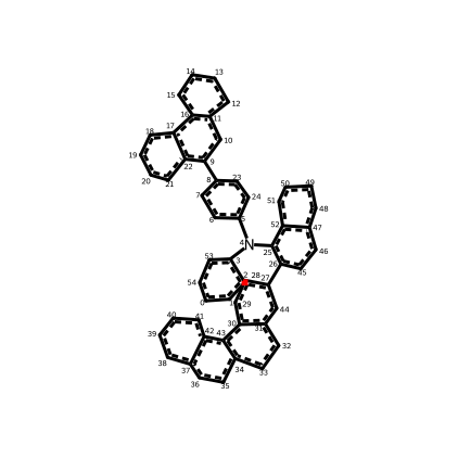 c1ccc(N(c2ccc(-c3cc4ccccc4c4ccccc34)cc2)c2c(-c3ccc4c(ccc5ccc6ccccc6c54)c3)ccc3ccccc23)cc1